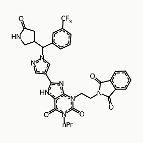 CCCn1c(=O)c2[nH]c(-c3cnn(C(c4cccc(C(F)(F)F)c4)C4CNC(=O)C4)c3)nc2n(CCN2C(=O)c3ccccc3C2=O)c1=O